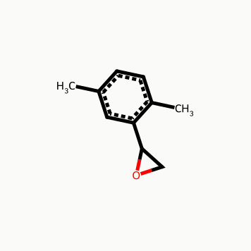 Cc1ccc(C)c(C2CO2)c1